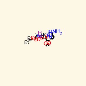 CCC(CC)COC(=O)[C@H](C)N[PH](=O)OC[C@@H](OC#N)[C@H]1OC(C)(C)O[C@H]1c1ccc2c(N)ncnn12